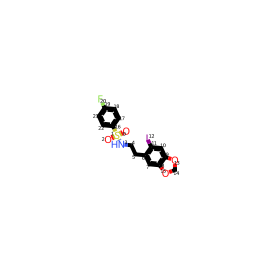 O=S(=O)(NCCc1cc2c(cc1I)OCO2)c1ccc(F)cc1